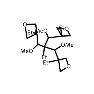 CCC1(C(OC)C(CC)(C(OC)C2(CC)COC2)C(OC)C2(CC)COC2)COC1